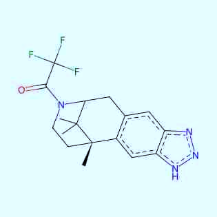 CC1(C)C2Cc3cc4nn[nH]c4cc3[C@]1(C)CCN2C(=O)C(F)(F)F